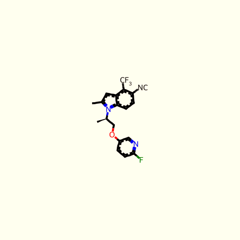 [C-]#[N+]c1ccc2c(cc(C)n2[C@H](C)COc2ccc(F)nc2)c1C(F)(F)F